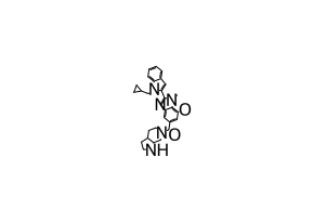 COc1cc(C(=O)N2CCC3CCNC3C2)cc2nc(-c3cc4ccccc4n3CC3CC3)n(C)c12